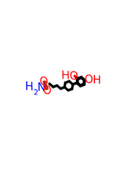 NS(=O)(=O)CCCCC1CCC(c2ccc(O)cc2O)CC1